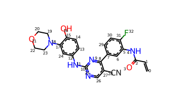 C=CC(=O)Nc1cc(-c2nc(Nc3ccc(O)c(N4CCOCC4)c3)ncc2C#N)ccc1F